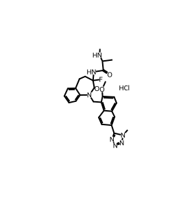 CNC(C)C(=O)NC1(F)CCc2ccccc2N(Cc2c(OC)ccc3cc(-c4nnnn4C)ccc23)C1=O.Cl